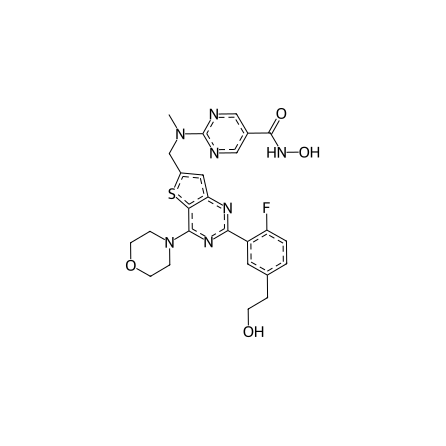 CN(Cc1cc2nc(-c3cc(CCO)ccc3F)nc(N3CCOCC3)c2s1)c1ncc(C(=O)NO)cn1